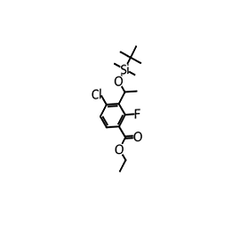 CCOC(=O)c1ccc(Cl)c(C(C)O[Si](C)(C)C(C)(C)C)c1F